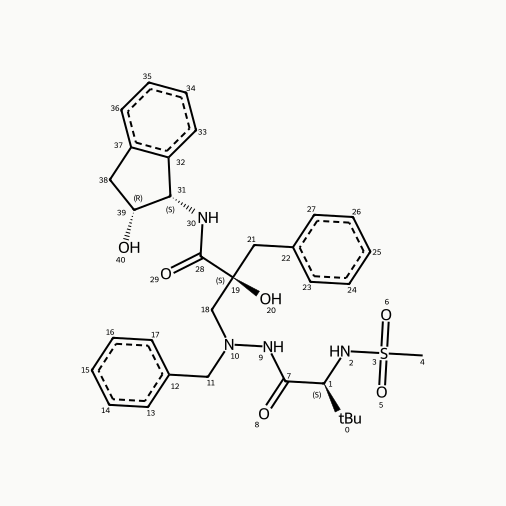 CC(C)(C)[C@H](NS(C)(=O)=O)C(=O)NN(Cc1ccccc1)C[C@@](O)(Cc1ccccc1)C(=O)N[C@H]1c2ccccc2C[C@H]1O